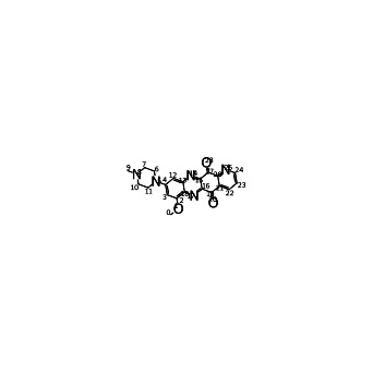 COc1cc(N2CCN(C)CC2)cc2nc3c(nc12)C(=O)c1cccnc1C3=O